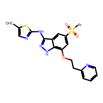 CC(C)S(=O)(=O)c1cc(OCCc2ccccn2)c2[nH]nc(Nc3ncc(C=O)s3)c2c1